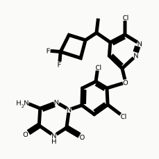 CC(c1cc(Oc2c(Cl)cc(-n3nc(N)c(=O)[nH]c3=O)cc2Cl)nnc1Cl)C1CC(F)(F)C1